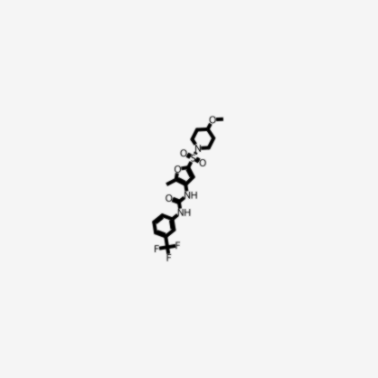 COC1CCN(S(=O)(=O)c2cc(NC(=O)Nc3cccc(C(F)(F)F)c3)c(C)o2)CC1